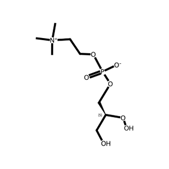 C[N+](C)(C)CCOP(=O)([O-])OC[C@H](CO)OO